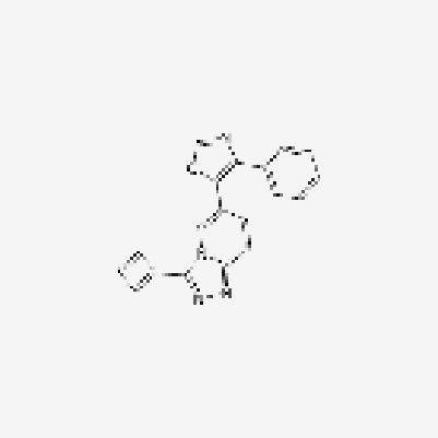 C1=CC(c2nnc3ccc(-c4ocnc4-c4ccccc4)cn23)=C1